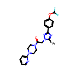 CCCc1nc(-c2ccc(OC(F)F)cc2)nn1CC(=O)N1CCN(c2ccccn2)CC1